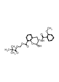 COc1ccccc1C(=O)N[C@H]1Cc2cccc(C(=O)OCOC(=O)C(C)(C)C)c2OB1O